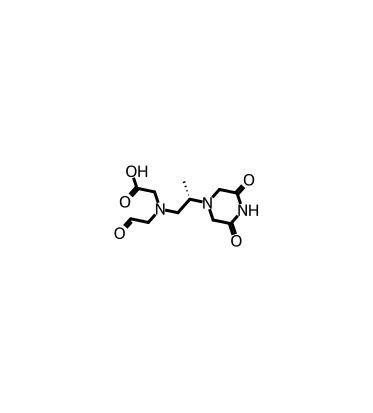 C[C@@H](CN(CC=O)CC(=O)O)N1CC(=O)NC(=O)C1